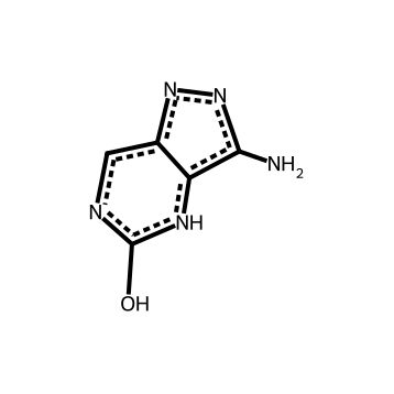 Nc1nnc2cnc(O)[nH]c1-2